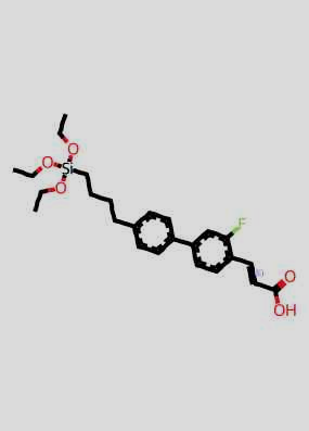 CCO[Si](CCCCc1ccc(-c2ccc(/C=C/C(=O)O)c(F)c2)cc1)(OCC)OCC